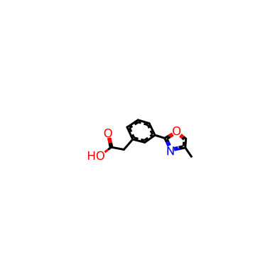 Cc1coc(-c2cccc(CC(=O)O)c2)n1